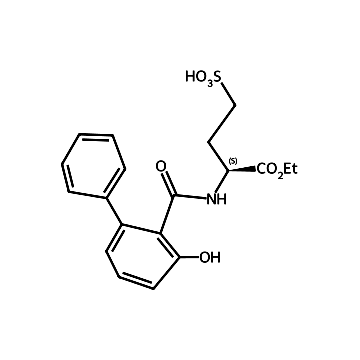 CCOC(=O)[C@H](CCS(=O)(=O)O)NC(=O)c1c(O)cccc1-c1ccccc1